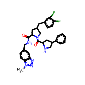 Cn1nnc2cc(CNC(=O)C3CC(Cc4ccc(F)c(F)c4)CN3C(=O)C3CC(c4ccccc4)CN3)ccc21